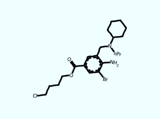 CCCN(Cc1cc(C(=O)OCCCCCl)cc(Br)c1N)C1CCCCC1